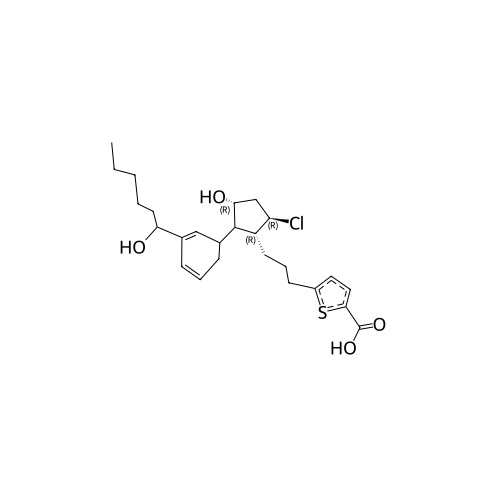 CCCCCC(O)C1=CC(C2[C@H](O)C[C@@H](Cl)[C@@H]2CCCc2ccc(C(=O)O)s2)CC=C1